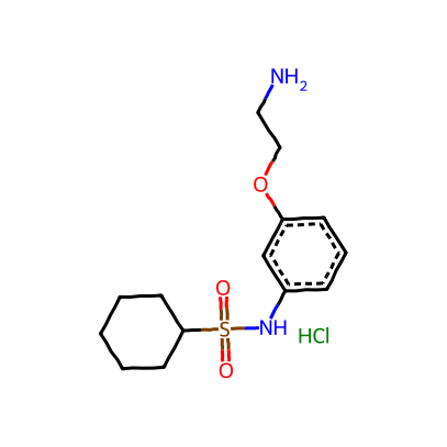 Cl.NCCOc1cccc(NS(=O)(=O)C2CCCCC2)c1